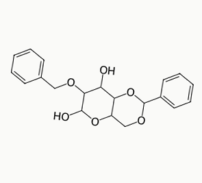 OC1OC2COC(c3ccccc3)OC2C(O)C1OCc1ccccc1